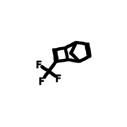 FC(F)(F)C1=CC2C3C=CC(C3)C12